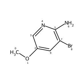 COc1cnc(N)c(Br)c1